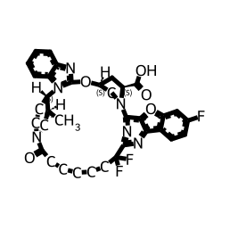 C[C@H]1CN2CC[C@@H]1n1c(nc3ccccc31)O[C@H]1C[C@@H](C(=O)O)N(C1)c1nc(nc3c1oc1cc(F)ccc13)C(F)(F)CCCCCC2=O